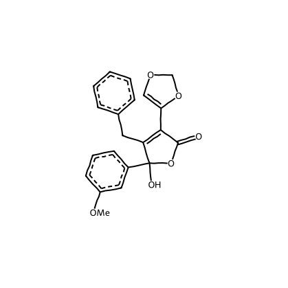 COc1cccc(C2(O)OC(=O)C(C3=COCO3)=C2Cc2ccccc2)c1